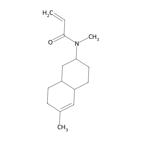 C=CC(=O)N(C)C1CCC2C=C(C)CCC2C1